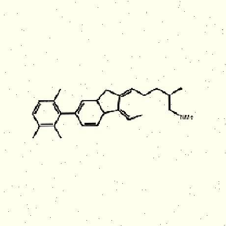 C/C=C1\C(=C/CC[C@@H](C)CNC)CC2C=C(c3c(C)ccc(C)c3C)C=CC12